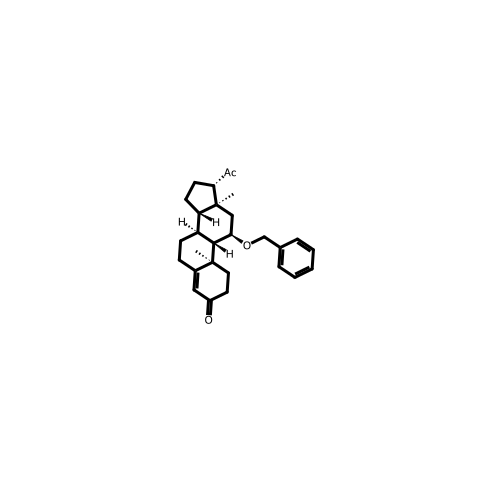 CC(=O)[C@H]1CC[C@H]2[C@@H]3CCC4=CC(=O)CC[C@]4(C)[C@H]3[C@H](OCc3ccccc3)C[C@]12C